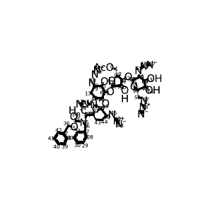 CC(=O)OC[C@H]1O[C@@H](O[C@@H]2[C@@H](O)[C@H](N=[N+]=[N-])C[C@H](N=[N+]=[N-])[C@H]2O[C@H]2O[C@H]([C@@H](C)N(Cc3ccccc3)C(=O)OCc3ccccc3)CC[C@H]2N=[N+]=[N-])[C@H](O)[C@@H]1O[C@H]1O[C@@H](CN=[N+]=[N-])[C@@H](O)[C@H](O)[C@H]1N=[N+]=[N-]